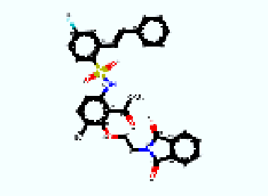 CCc1ccc(NS(=O)(=O)c2ccc(F)cc2/C=C/c2ccccc2)c(C(=O)OC)c1OCCN1C(=O)c2ccccc2C1=O